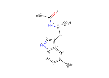 CCCCCCCCCC(=O)N[C@@H](Cc1c[nH]c2ccc(OC)cc12)C(=O)O